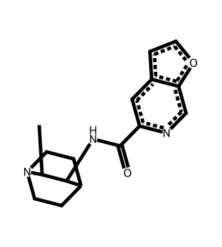 CC1C(NC(=O)c2cc3ccoc3cn2)C2CCN1CC2